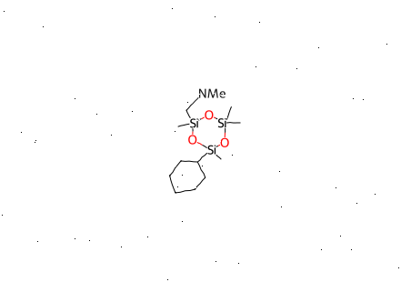 CNC[Si]1(C)O[Si](C)(C)O[Si](C)(C2CCCCC2)O1